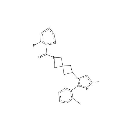 Cc1cc(C2CC3(C2)CN(C(=O)c2ccccc2F)C3)n(-c2ccccc2C)n1